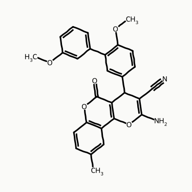 COc1cccc(-c2cc(C3C(C#N)=C(N)Oc4c3c(=O)oc3ccc(C)cc43)ccc2OC)c1